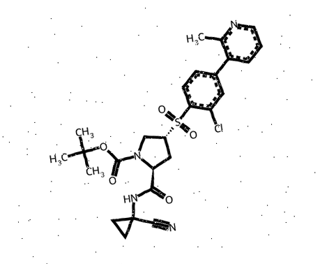 Cc1ncccc1-c1ccc(S(=O)(=O)[C@@H]2C[C@@H](C(=O)NC3(C#N)CC3)N(C(=O)OC(C)(C)C)C2)c(Cl)c1